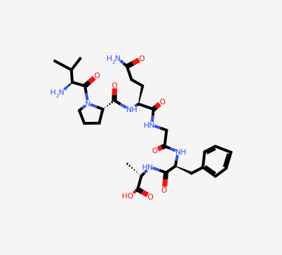 CC(C)[C@H](N)C(=O)N1CCC[C@H]1C(=O)N[C@@H](CCC(N)=O)C(=O)NCC(=O)N[C@@H](Cc1ccccc1)C(=O)N[C@@H](C)C(=O)O